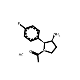 CC(=O)N1CC[C@H](N)[C@@H]1c1ccc(F)cc1.Cl